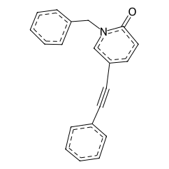 O=c1ccc(C#Cc2ccccc2)cn1Cc1ccccc1